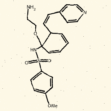 COc1ccc(S(=O)(=O)NC2(OCCN)C=CC=CC2C=Cc2ccncc2)cc1